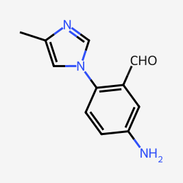 Cc1cn(-c2ccc(N)cc2C=O)cn1